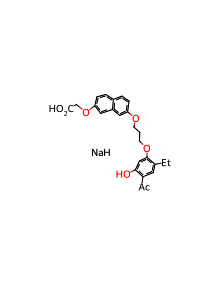 CCc1cc(C(C)=O)c(O)cc1OCCCOc1ccc2ccc(OCC(=O)O)cc2c1.[NaH]